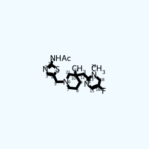 CC(=O)Nc1ncc(CN2CCCC(C)(CC3=NC=C(F)CN3C)C2)s1